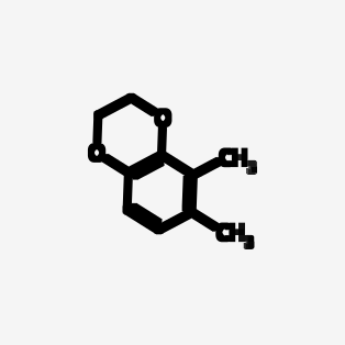 Cc1ccc2c(c1C)OCCO2